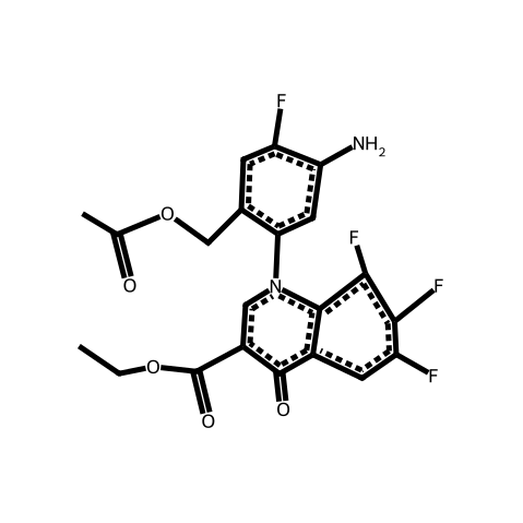 CCOC(=O)c1cn(-c2cc(N)c(F)cc2COC(C)=O)c2c(F)c(F)c(F)cc2c1=O